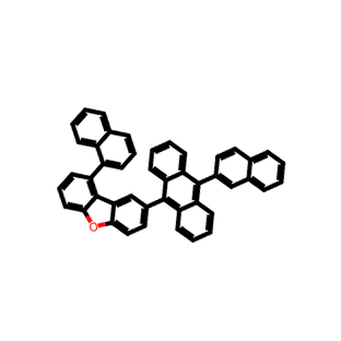 c1ccc2cc(-c3c4ccccc4c(-c4ccc5oc6cccc(-c7cccc8ccccc78)c6c5c4)c4ccccc34)ccc2c1